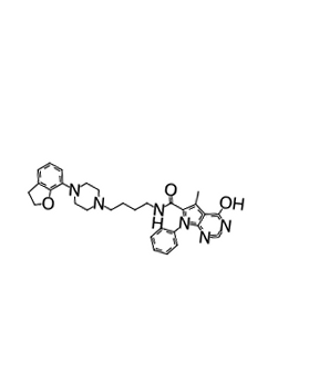 Cc1c(C(=O)NCCCCN2CCN(c3cccc4c3OCC4)CC2)n(-c2ccccc2)c2ncnc(O)c12